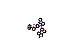 C=Cc1cccc(-c2cccc(N(c3ccc4oc5c(C67CC8CC(CC(C8)C6)C7)cccc5c4c3)c3cccc4c3C(C)(C)c3ccccc3-4)c2)c1/C(=C\C)c1ccccc1